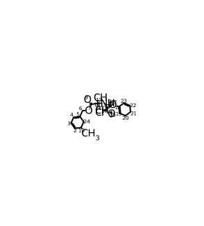 CC1C=CC=C(COC(=O)C(C)(C)NP(=O)(Cl)OC2=CCCC=C2)C1